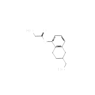 O=C(CO)Oc1cccc2c1CCC(CO)C2